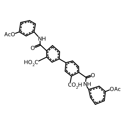 CC(=O)Oc1cccc(NC(=O)c2ccc(-c3ccc(C(=O)Nc4cccc(OC(C)=O)c4)c(C(=O)O)c3)cc2C(=O)O)c1